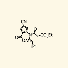 CCOC(=O)CC(=O)N(CCC(C)C)n1cc(C#N)cc1C(=O)OC